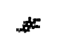 CCCCOc1c(OC=O)c(=O)[nH]c2cc(N)ccc12